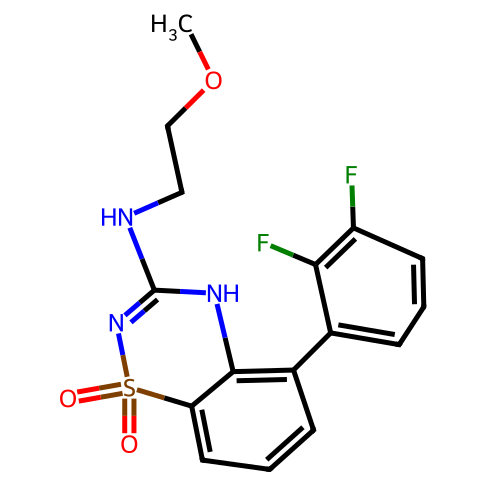 COCCNC1=NS(=O)(=O)c2cccc(-c3cccc(F)c3F)c2N1